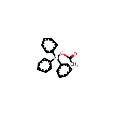 CC(=O)[O][Sn]([c]1ccccc1)([c]1ccccc1)[c]1ccccc1